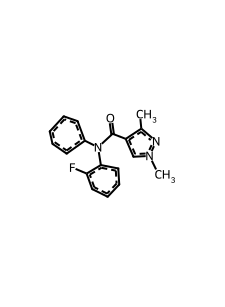 Cc1nn(C)cc1C(=O)N(c1ccccc1)c1ccccc1F